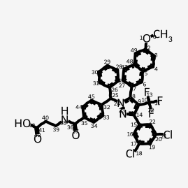 COc1ccc2cc(-c3c(C(F)(F)F)c(-c4cc(Cl)cc(Cl)c4)nn3C(c3ccccc3)c3ccc(C(=O)NCCC(=O)O)cc3)ccc2c1